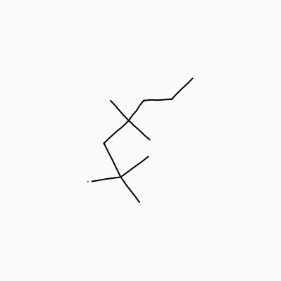 [CH2]C(C)(C)CC(C)(C)CCC